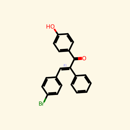 O=C(/C(=C/c1ccc(Br)cc1)c1ccccc1)c1ccc(O)cc1